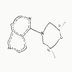 C[C@@H]1CN(c2nccc3cnccc23)C[C@H](C)O1